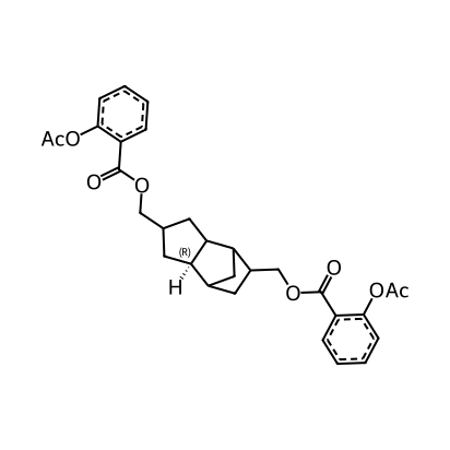 CC(=O)Oc1ccccc1C(=O)OCC1CC2C3CC(CC3COC(=O)c3ccccc3OC(C)=O)[C@H]2C1